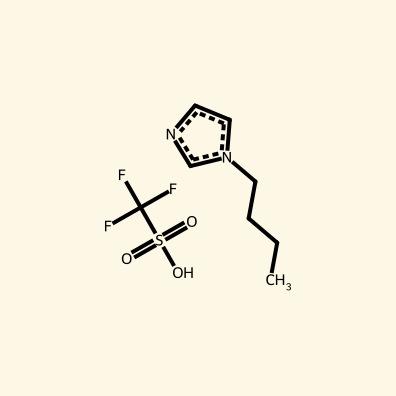 CCCCn1ccnc1.O=S(=O)(O)C(F)(F)F